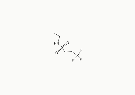 [CH2]CNS(=O)(=O)CCC(F)(F)F